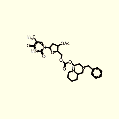 CC(=O)OC1CC(n2cc(C)c(=O)[nH]c2=O)OC1COC(=O)OCCN(Cc1ccccc1)CC1CCCCN1